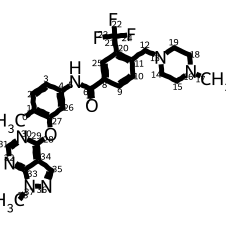 Cc1ccc(NC(=O)c2ccc(CN3CCN(C)CC3)c(C(F)(F)F)c2)cc1Oc1ncnc2c1cnn2C